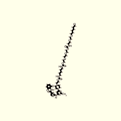 Cc1nc(Nc2ncc(C(=O)Nc3c(C)cccc3Cl)s2)cc(N2CCN(CCOC(=O)NCCCCCNC(=O)OCCOCCOCCOC(=O)NCCOCCOCCCCCCCl)CC2)n1